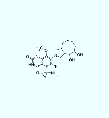 COc1c(N2CC3CCCCC(O)C(O)C3C2)c(F)c(C2(N)CC2)c2c(=O)[nH]c(=O)[nH]c12